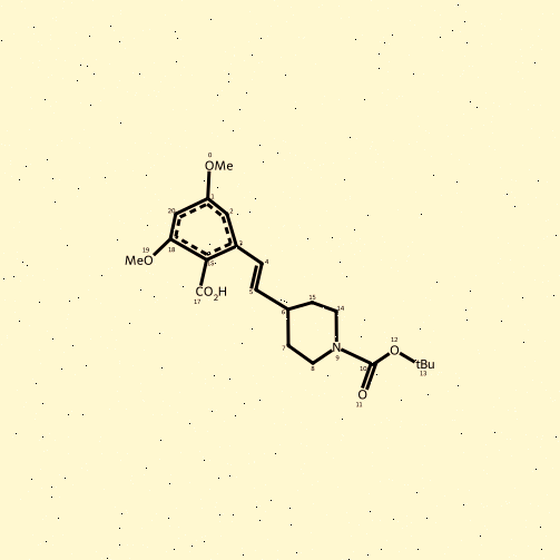 COc1cc(C=CC2CCN(C(=O)OC(C)(C)C)CC2)c(C(=O)O)c(OC)c1